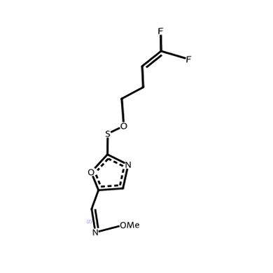 CO/N=C\c1cnc(SOCCC=C(F)F)o1